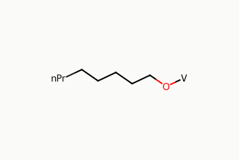 CCCCCCCC[O][V]